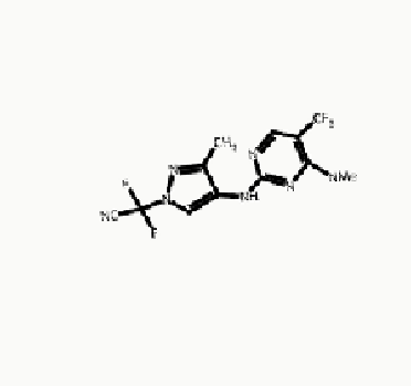 CNc1nc(Nc2cn(C(F)(F)C#N)nc2C)ncc1C(F)(F)F